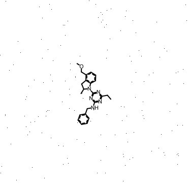 CCc1nc(NCc2ccccc2)nc(N2c3cccc(COC)c3CC2C)n1